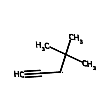 C#C[CH]C(C)(C)C